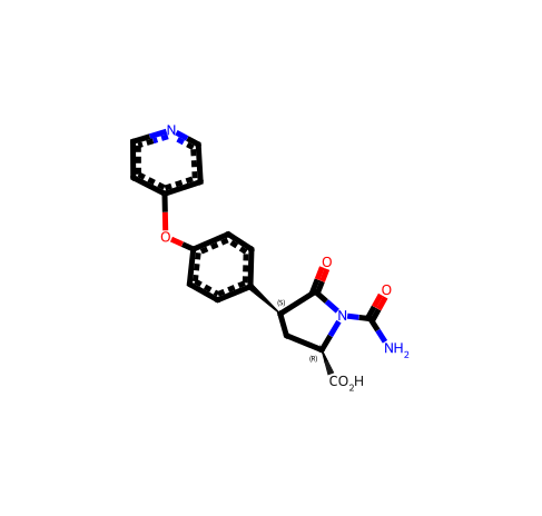 NC(=O)N1C(=O)[C@H](c2ccc(Oc3ccncc3)cc2)C[C@@H]1C(=O)O